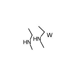 CCNC.CCNC.[W]